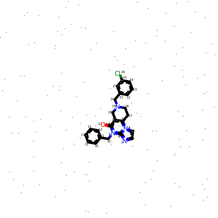 O=c1c2c(n3ccnc3n1Cc1ccccc1)CCN(Cc1cccc(Cl)c1)C2